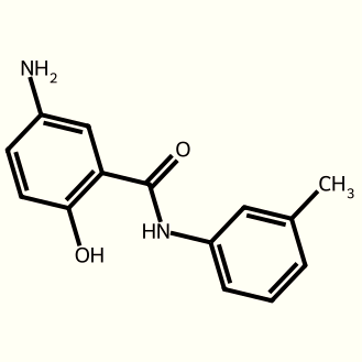 Cc1cccc(NC(=O)c2cc(N)ccc2O)c1